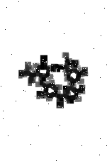 CC(C)c1c2cc(-c3nc(Nc4ccc(CN5CCNCC5C(F)C(F)F)c(F)c4)ncc3F)cc(F)c2nn1C